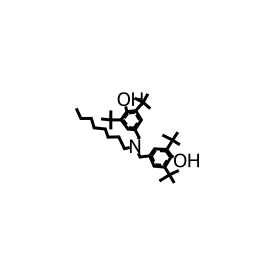 CCCCCCCCN(Cc1cc(C(C)(C)C)c(O)c(C(C)(C)C)c1)Cc1cc(C(C)(C)C)c(O)c(C(C)(C)C)c1